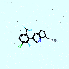 CCOC(=O)C1CCc2cc(-c3c(C(F)F)ccc(Cl)c3F)cnc21